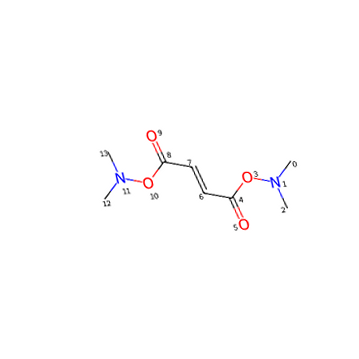 CN(C)OC(=O)/C=C/C(=O)ON(C)C